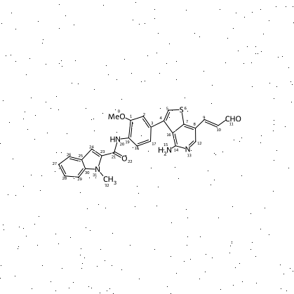 COc1cc(-c2csc3c(C=CC=O)cnc(N)c23)ccc1NC(=O)c1cc2ccccc2n1C